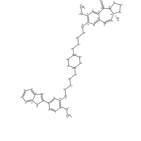 COc1ccc(-c2nc3ccccc3s2)cc1OCCCCN1CCN(CCCCOc2cc3c(cc2OC)C(=O)N2CCC[C@H]2C=N3)CC1